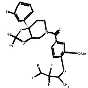 [2H]C1([2H])OC2CN(C(=O)c3ccc(OC(C)C(F)(F)C(F)F)c(OC)c3)CC[C@]2(c2cccc(F)c2)O1